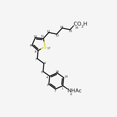 CC(=O)Nc1ccc(CCCc2ccc(CCCCC(=O)O)s2)cc1